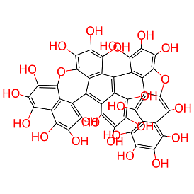 Oc1c(O)c(-c2c3c(O)c(O)c(O)c(O)c3c3c4c(O)c(O)c(O)c5c(O)c(O)c(O)c(oc6c(O)c(O)c(O)c2c63)c54)c2c(oc3c(O)c4c(O)c(O)c(O)c(O)c4c(O)c32)c1O